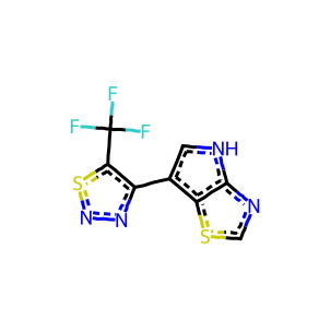 FC(F)(F)c1snnc1-c1c[nH]c2ncsc12